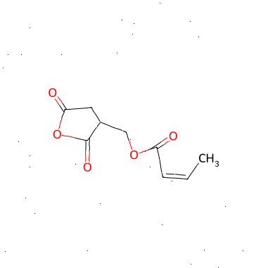 C/C=C\C(=O)OCC1CC(=O)OC1=O